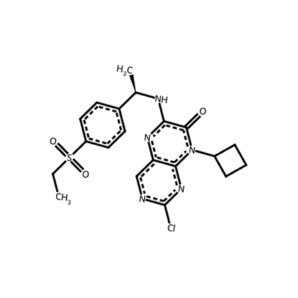 CCS(=O)(=O)c1ccc([C@@H](C)Nc2nc3cnc(Cl)nc3n(C3CCC3)c2=O)cc1